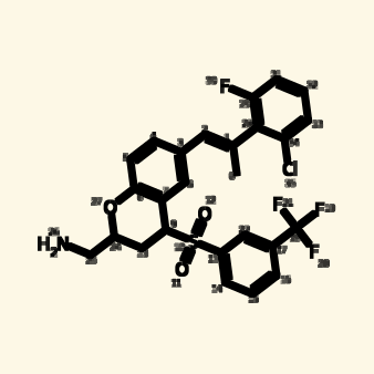 CC(=Cc1ccc2c(c1)C(S(=O)(=O)c1cccc(C(F)(F)F)c1)CC(CN)O2)c1c(F)cccc1Cl